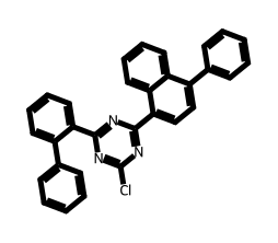 Clc1nc(-c2ccccc2-c2ccccc2)nc(-c2ccc(-c3ccccc3)c3ccccc23)n1